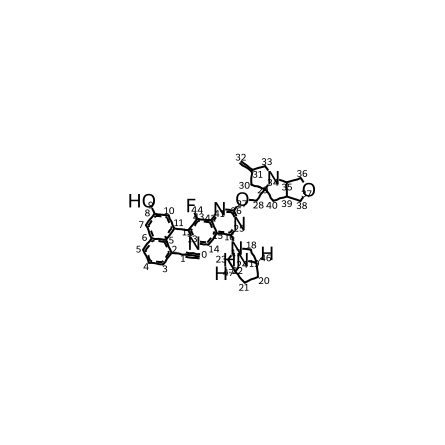 C#Cc1cccc2cc(O)cc(-c3ncc4c(N5C[C@H]6CC[C@@H](C5)N6)nc(OCC56CC(=C)CN5C5COCC5C6)nc4c3F)c12